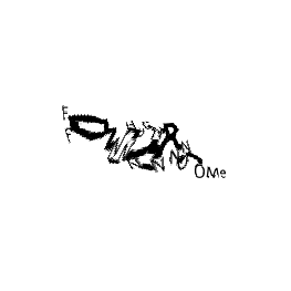 COCc1nc(-c2cccc3c2c2ncnc(N4CCN(CCc5ccc(F)c(F)c5)CC4)c2n3C)no1